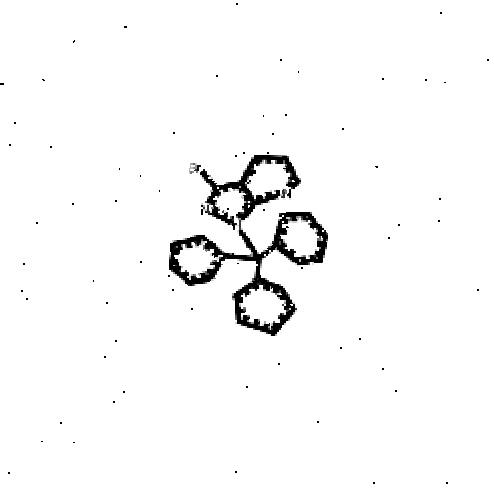 Brc1nn(C(c2ccccc2)(c2ccccc2)c2ccccc2)c2ncccc12